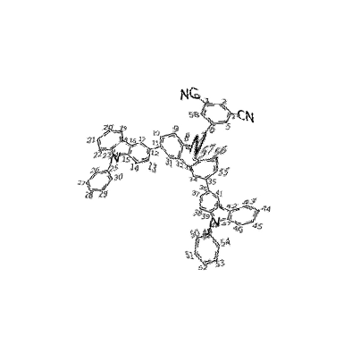 N#Cc1cc(C#N)cc(-n2c3ccc(-c4ccc5c(c4)c4ccccc4n5-c4ccccc4)cc3c3cc(-c4ccc5c(c4)c4ccccc4n5-c4ccccc4)ccc32)c1